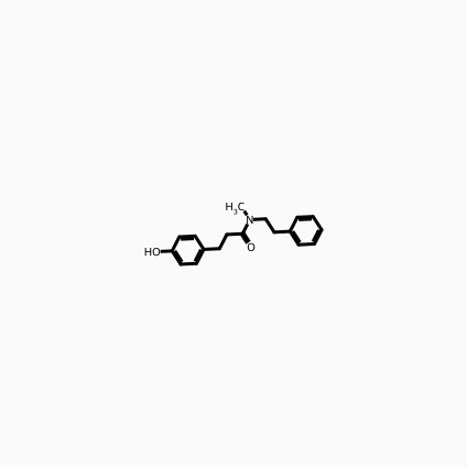 CN(CCc1ccccc1)C(=O)CCc1ccc(O)cc1